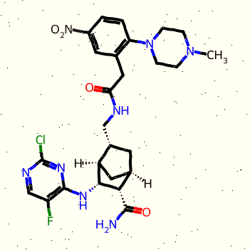 CN1CCN(c2ccc([N+](=O)[O-])cc2CC(=O)NC[C@@H]2C[C@@H]3C[C@H]2[C@@H](Nc2nc(Cl)ncc2F)[C@H]3C(N)=O)CC1